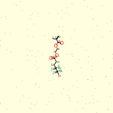 C=C(C)C(=O)OCCOC(=O)CCC(F)(F)C(C)(F)F